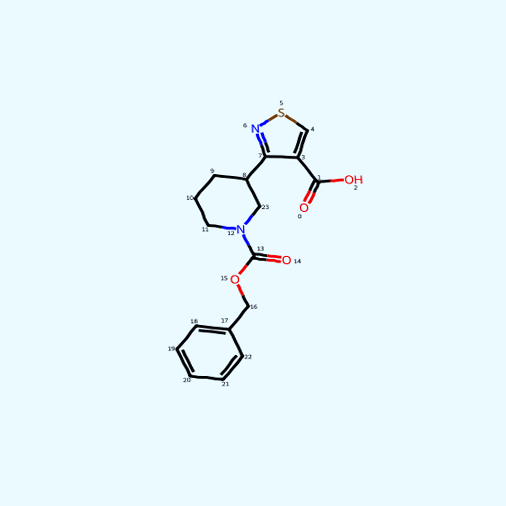 O=C(O)c1csnc1C1CCCN(C(=O)OCc2ccccc2)C1